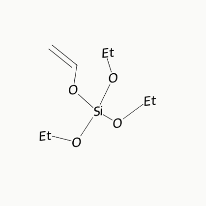 C=CO[Si](OCC)(OCC)OCC